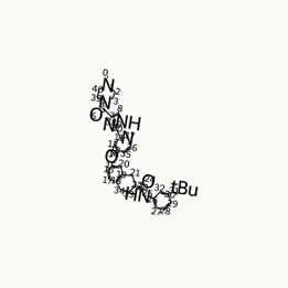 CN1CCN(C(=O)c2c[nH]c(-c3cc(Oc4ccc5c(c4)CC(C(=O)Nc4cccc(C(C)(C)C)c4)CC5)ccn3)n2)CC1